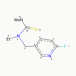 CCN(Cc1ccc(F)nc1)C(=S)NC